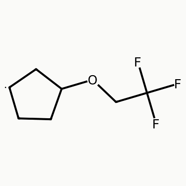 FC(F)(F)COC1C[CH]CC1